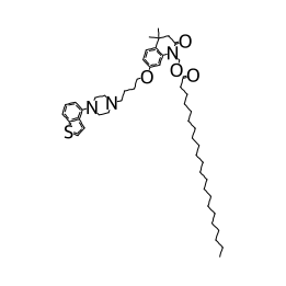 CCCCCCCCCCCCCCCCCCCCCC(=O)OCN1C(=O)CC(C)(C)c2ccc(OCCCCN3CCN(c4cccc5sccc45)CC3)cc21